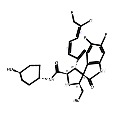 C=C(/C=C\C=C(\Cl)CF)[C@H]1[C@H](C(=O)N[C@H]2CC[C@H](O)CC2)N[C@H](CC(C)(C)C)[C@]12C(=O)Nc1cc(F)c(F)cc12